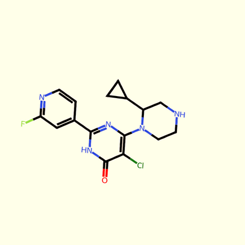 O=c1[nH]c(-c2ccnc(F)c2)nc(N2CCNCC2C2CC2)c1Cl